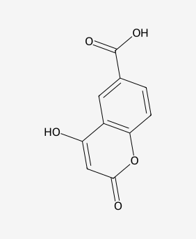 O=C(O)c1ccc2oc(=O)cc(O)c2c1